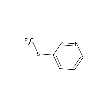 FC(F)(F)Sc1[c]nccc1